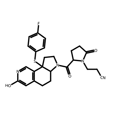 N#CCCN1C(=O)CCC1C(=O)N1CCC2(Sc3ccc(F)cc3)c3cnc(O)cc3CCC12